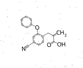 C=C(Cc1ccc(C#N)cc1Oc1ccccc1)C(=O)O